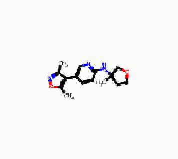 Cc1noc(C)c1-c1ccc(NC2(C)CCOC2)nc1